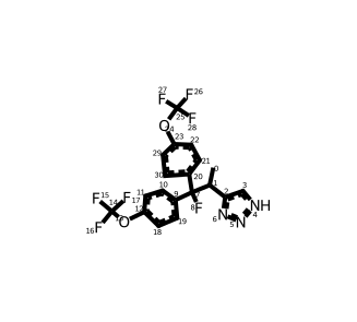 CC(c1c[nH]nn1)C(F)(c1ccc(OC(F)(F)F)cc1)c1ccc(OC(F)(F)F)cc1